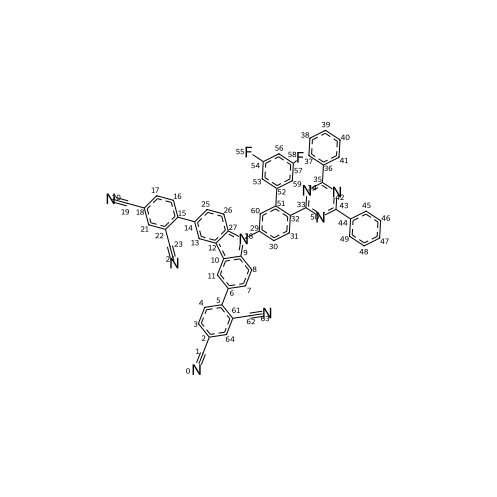 N#Cc1ccc(-c2ccc3c(c2)c2cc(-c4ccc(C#N)cc4C#N)ccc2n3-c2ccc(-c3nc(-c4ccccc4)nc(-c4ccccc4)n3)c(-c3cc(F)cc(F)c3)c2)c(C#N)c1